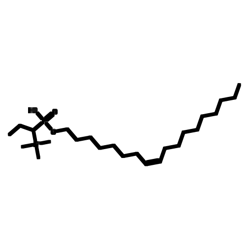 CCCCCCCCC/C=C\CCCCCCCOP(=O)(O)C(CC)[N+](C)(C)C